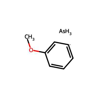 COc1c[c]ccc1.[AsH3]